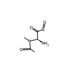 CC(=O)N(C)[C@H](N)C(=O)N=O